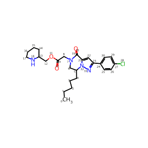 CCCCCC1CN(CC(=O)OCC2CCCCN2)C(=O)c2cc(-c3ccc(Cl)cc3)nn21